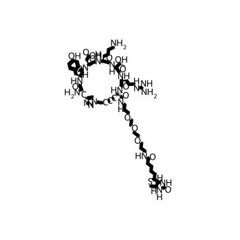 C[C@@H](O)[C@@H]1NC(=O)[C@H](CCCCN)NC(=O)[C@H](CC(=O)O)NC(=O)[C@H](Cc2ccc(O)cc2)NC(=O)[C@@H](N)Cc2cn(nn2)CCCC[C@@H](C(=O)NCCCOCCOCCOCCCNC(=O)CCCCC2SC[C@H]3NC(=O)N[C@@H]23)NC(=O)[C@H](CCCNC(=N)N)NC1=O